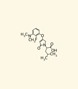 CC(C)CC(C(=O)O)N1CC(Oc2cccc(N(C)C)c2F)=CC1=O